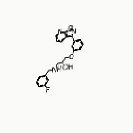 O[C@H](CNCc1cccc(F)c1)COc1cccc(-c2noc3ncccc23)c1